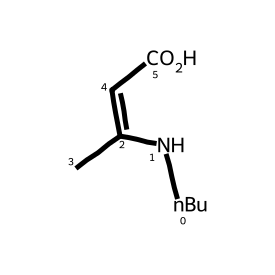 CCCCN/C(C)=C\C(=O)O